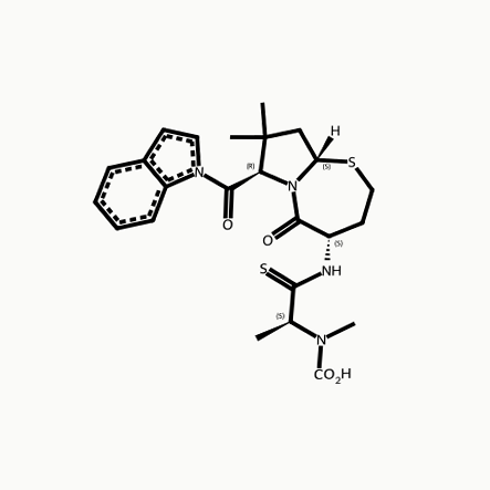 C[C@@H](C(=S)N[C@H]1CCS[C@H]2CC(C)(C)[C@H](C(=O)n3ccc4ccccc43)N2C1=O)N(C)C(=O)O